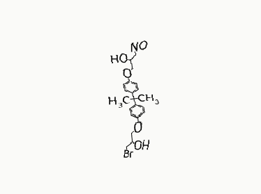 CC(C)(c1ccc(OCC(O)CBr)cc1)c1ccc(OCC(O)CN=O)cc1